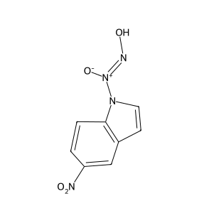 O=[N+]([O-])c1ccc2c(ccn2/[N+]([O-])=N/O)c1